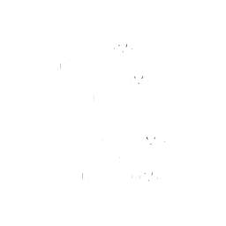 CCCC(OC)(OC)[SiH2]C[SiH2]C(CCC)(OC)OC